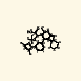 Cc1cc(C)n(-c2cccc(-c3c(C(OC(C)(C)C)C(=O)O)c(C)nc4sc5c(c34)CCCC5)c2)n1